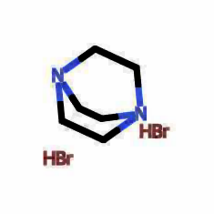 Br.Br.C1CN2CCN1CC2